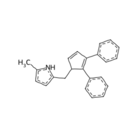 Cc1ccc(CC2C=CC(c3ccccc3)=C2c2ccccc2)[nH]1